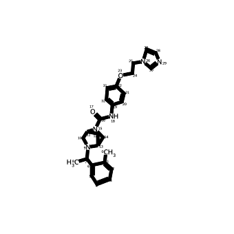 Cc1ccccc1C(C)N1CC2CC1CN2C(=O)Nc1ccc(OCCn2ccnc2)cc1